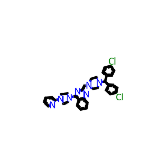 Clc1ccc(C(c2ccc(Cl)cc2)N2CCN(Cc3nc(N4CCN(c5ccccn5)CC4)c4ccccc4n3)CC2)cc1